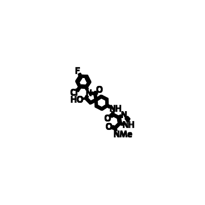 CNC(=O)c1[nH]cnc1C(=O)NC1CCC2(CC1)C[C@@H](O)N(c1ccc(F)cc1Cl)C2=O